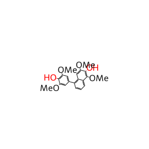 COc1cc(-c2cccc3c(OC)c(O)c(OC)cc23)cc(OC)c1O